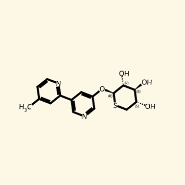 Cc1ccnc(-c2cncc(O[C@@H]3SC[C@@H](O)[C@H](O)[C@H]3O)c2)c1